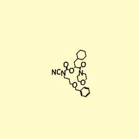 N#CN(CCCOCc1ccccc1)C(=O)OC(CC1CCCCC1)C(=O)N1CCOCC1